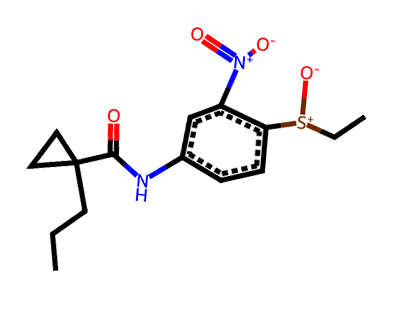 CCCC1(C(=O)Nc2ccc([S+]([O-])CC)c([N+](=O)[O-])c2)CC1